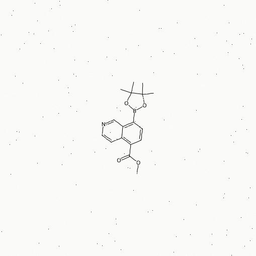 COC(=O)c1ccc(B2OC(C)(C)C(C)(C)O2)c2cnccc12